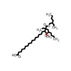 CCCCC(CC)COC(=O)C(CC)(CC(CC)CCCC)C(CC)CCCCCCCCCCCCCCCC(=O)O